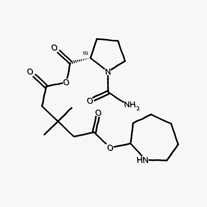 CC(C)(CC(=O)OC(=O)[C@@H]1CCCN1C(N)=O)CC(=O)OC1CCCCCN1